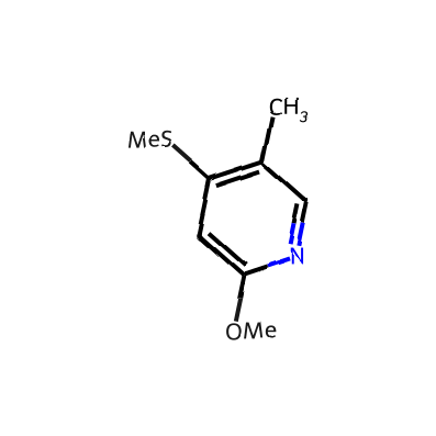 COc1cc(SC)c(C)cn1